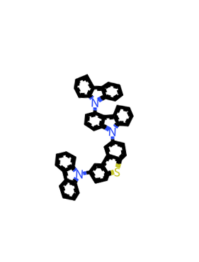 c1ccc2c(c1)c1ccccc1n2-c1ccc2sc3ccc(-n4c5ccccc5c5c(-n6c7ccccc7c7ccccc76)cccc54)cc3c2c1